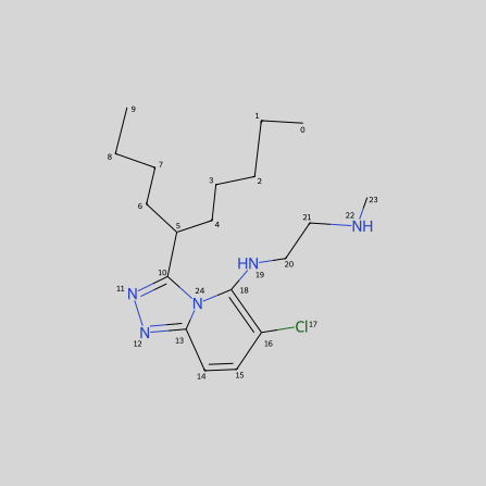 CCCCCC(CCCC)c1nnc2ccc(Cl)c(NCCNC)n12